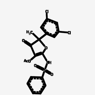 CC(=O)OC1=C(NS(=O)(=O)c2ccccc2)OC(C)(c2cc(Cl)cc(Cl)c2)C1=O